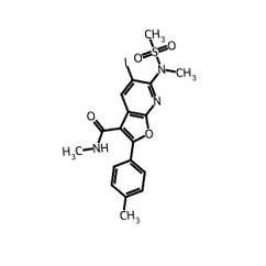 CNC(=O)c1c(-c2ccc(C)cc2)oc2nc(N(C)S(C)(=O)=O)c(I)cc12